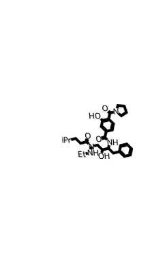 CCNN(CC(O)C(Cc1ccccc1)NC(=O)c1ccc(C(=O)N2CCCC2)c(O)c1)C(=O)CCC(C)C